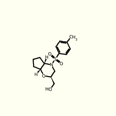 Cc1ccc(S(=O)(=O)N2C[C@@H](CO)O[C@@H]3CCC[C@@H]32)cc1